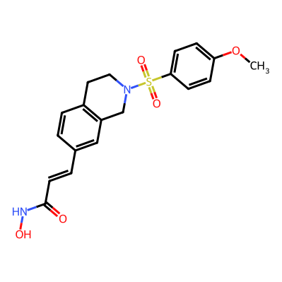 COc1ccc(S(=O)(=O)N2CCc3ccc(C=CC(=O)NO)cc3C2)cc1